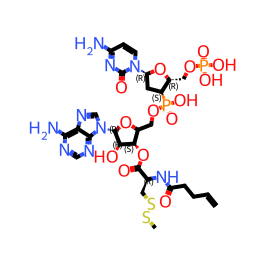 C=CCCC(=O)N[C@@H](CSSC)C(=O)O[C@@H]1C(COP(=O)(O)[C@H]2C[C@H](n3ccc(N)nc3=O)O[C@@H]2COP(=O)(O)O)O[C@@H](n2cnc3c(N)ncnc32)[C@@H]1O